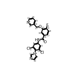 O=C(Nc1cc(Cl)c(-n2ccnc2)c(Cl)c1)c1ccc(F)c(OCc2cccnc2)c1